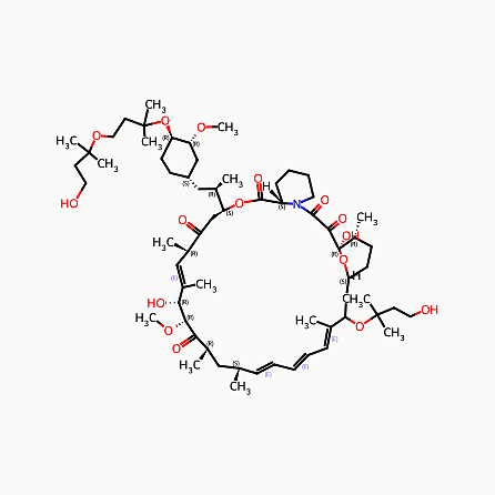 CO[C@@H]1C[C@H](C[C@@H](C)[C@@H]2CC(=O)[C@H](C)/C=C(\C)[C@@H](O)[C@@H](OC)C(=O)[C@H](C)C[C@H](C)/C=C/C=C/C=C(\C)C(OC(C)(C)CCO)C[C@@H]3CC[C@@H](C)[C@@](O)(O3)C(=O)C(=O)N3CCCC[C@H]3C(=O)O2)CC[C@H]1OC(C)(C)CCOC(C)(C)CCO